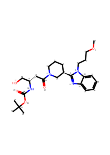 COCCCn1c([C@@H]2CCCN(C(=O)C[C@@H](CO)NC(=O)OC(C)(C)C)C2)nc2ccccc21